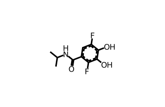 CC(C)NC(=O)c1cc(F)c(O)c(O)c1F